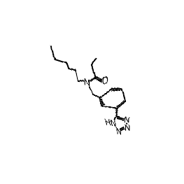 CCCCCCN(Cc1cccc(-c2nnn[nH]2)c1)C(=O)CC